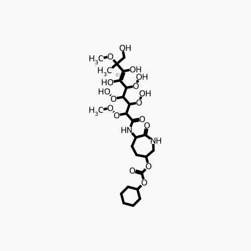 COOC(C(=O)NC1CCC(OC(=O)OC2CCCCC2)CNC1=O)C(OO)C(OO)C(OO)/C(O)=C(\O)C(C)(CO)OC